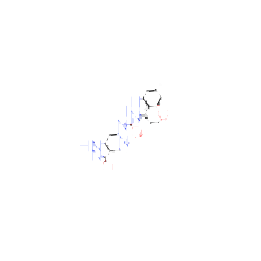 COc1n[nH]c2cc(NC(=O)N[C@@H]3CCOc4ccccc43)ncc12